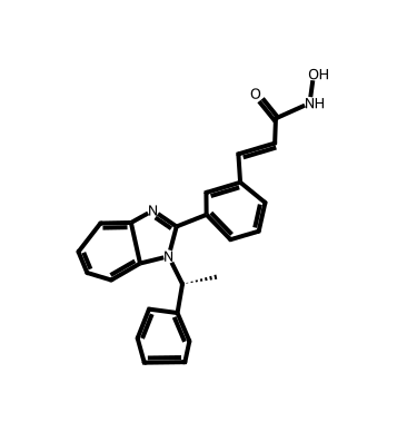 C[C@H](c1ccccc1)n1c(-c2cccc(C=CC(=O)NO)c2)nc2ccccc21